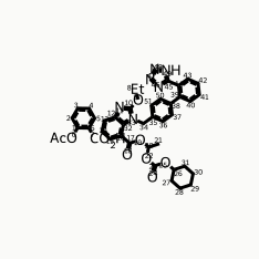 CC(=O)Oc1ccccc1C(=O)O.CCOc1nc2cccc(C(=O)OC(C)OC(=O)OC3CCCCC3)c2n1Cc1ccc(-c2ccccc2-c2nnn[nH]2)cc1